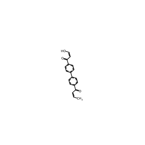 C/C=C\C(=O)c1ccc(-c2ccc(C(=O)/C=C\O)cc2)cc1